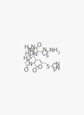 NC(=O)/C(=N\O)c1csc(N)n1.O=C([O-])C1=C(C=CCSc2cnns2)CS[C@H]2CC(=O)N12.[Na+]